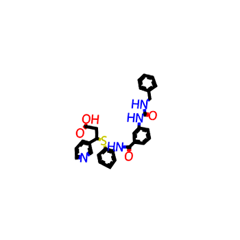 O=C(O)CC(Sc1ccccc1NC(=O)c1cccc(NC(=O)NCc2ccccc2)c1)c1cccnc1